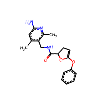 Cc1cc(N)nc(C)c1CNC(=O)C1CC=C(Oc2ccccc2)O1